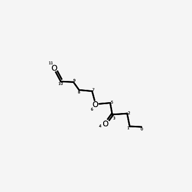 CCCC(=O)COCCCC=O